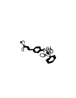 COC(=O)C=Cc1ccc(NS(=O)(=O)c2ccccc2)cc1